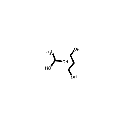 CC(O)O.OCCCO